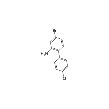 Nc1cc(Br)ccc1-c1ccc(Cl)cc1